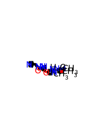 Cn1c(Nc2cccc(C(C)(C)C)c2)nc2cc(Oc3ccnc(C(=O)NCCc4ccncc4)c3)ccc21